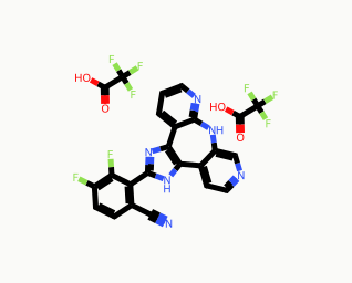 N#Cc1ccc(F)c(F)c1-c1nc2c([nH]1)-c1ccncc1Nc1ncccc1-2.O=C(O)C(F)(F)F.O=C(O)C(F)(F)F